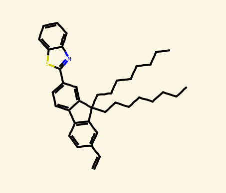 C=Cc1ccc2c(c1)C(CCCCCCCC)(CCCCCCCC)c1cc(-c3nc4ccccc4s3)ccc1-2